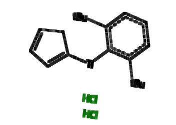 CC(C)(C)c1cccc(C(C)(C)C)[c]1[Ti][C]1=CC=CC1.Cl.Cl